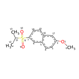 COc1ccc2cc(S(=O)(=O)C(C)C)ccc2c1